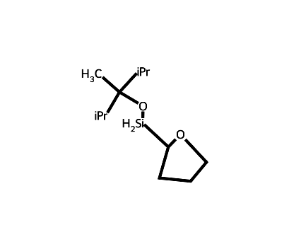 CC(C)C(C)(O[SiH2]C1CCCO1)C(C)C